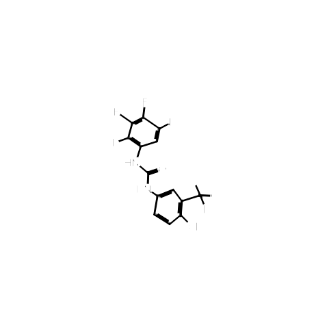 O=C(Nc1ccc(Cl)c(C(F)(F)F)c1)Nc1cc(F)c(F)c(F)c1F